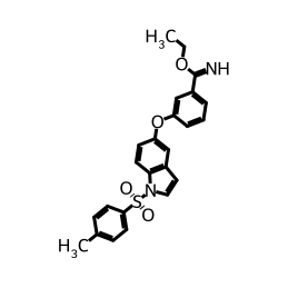 CCOC(=N)c1cccc(Oc2ccc3c(ccn3S(=O)(=O)c3ccc(C)cc3)c2)c1